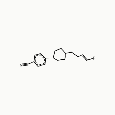 N#Cc1ccc([C@H]2CC[C@H](CC/C=C/F)CC2)cc1